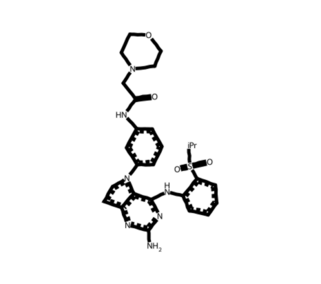 CC(C)S(=O)(=O)c1ccccc1Nc1nc(N)nc2ccn(-c3cccc(NC(=O)CN4CCOCC4)c3)c12